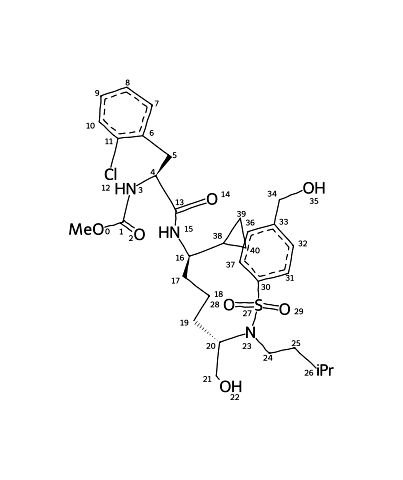 COC(=O)N[C@@H](Cc1ccccc1Cl)C(=O)N[C@H](CCC[C@@H](CO)N(CCC(C)C)S(=O)(=O)c1ccc(CO)cc1)C1CC1